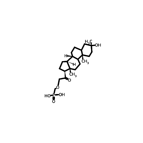 C[C@@]1(O)CC[C@@]2(C)C(CC[C@@H]3C2CC[C@]2(C)[C@@H](C(=O)COCP(=O)(O)O)CC[C@@H]32)C1